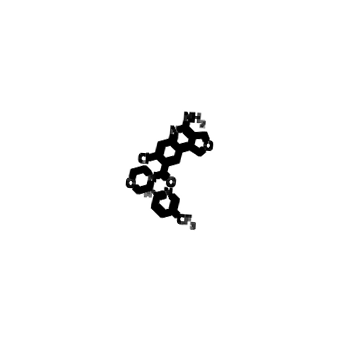 Nc1nc2cc(Cl)c(C(=O)N3CCOC[C@H]3c3ccc(C(F)(F)F)cn3)cc2c2c1COC2